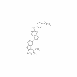 CO[C@H]1CC[C@H](Nc2ncc3c(-c4cnc5nc(C)n(C(C)C)c5c4)ccn3n2)CC1